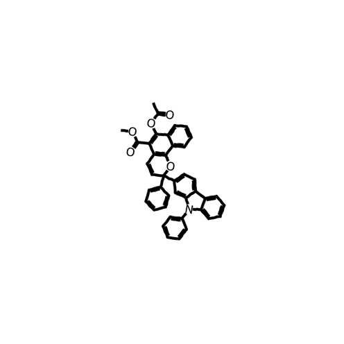 COC(=O)c1c2c(c3ccccc3c1OC(C)=O)OC(c1ccccc1)(c1ccc3c4ccccc4n(-c4ccccc4)c3c1)C=C2